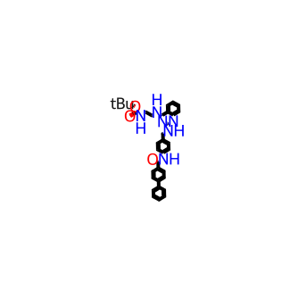 CC(C)(C)OC(=O)NCCNc1nc(NCc2ccc(NC(=O)c3ccc(-c4ccccc4)cc3)cc2)nc2ccccc12